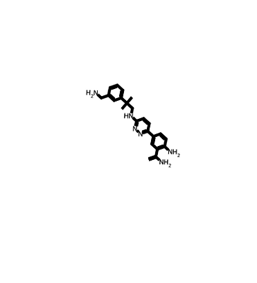 C=C(N)c1cc(-c2ccc(NCC(C)(C)c3cccc(CN)c3)nn2)ccc1N